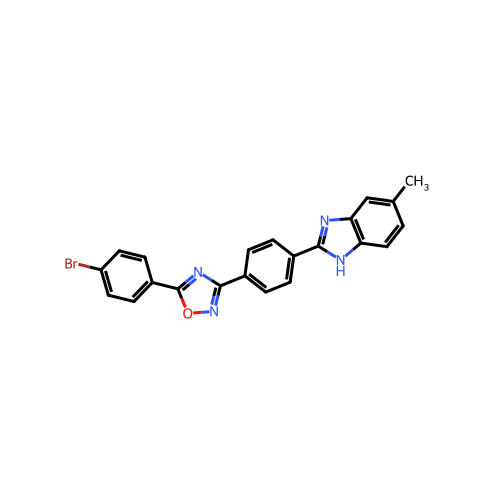 Cc1ccc2[nH]c(-c3ccc(-c4noc(-c5ccc(Br)cc5)n4)cc3)nc2c1